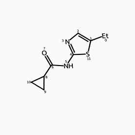 CCc1cnc(NC(=O)C2CC2)s1